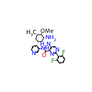 CO[C@H]1[C@H](N)C[C@H](c2ccncc2NC(=O)c2nc(-c3c(F)cccc3F)ncc2N)C[C@@H]1C